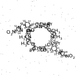 CC(C)C[C@H]1C(=O)O[C@H](Cc2cccc(Cn3cc([N+](=O)[O-])cn3)c2)C(=O)N(C)[C@@H](CC(C)C)C(=O)O[C@H](C)C(=O)N(C)[C@@H](CC(C)C)C(=O)O[C@H](Cc2ccc(Cn3cc([N+](=O)[O-])cn3)cc2)C(=O)N(C)[C@@H](CC(C)C)C(=O)O[C@H](C)C(=O)N1C